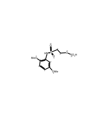 COc1ccc(OC)c(NS(=O)(=O)CCOS(=O)(=O)O)c1